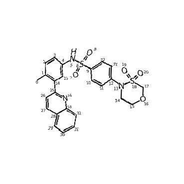 Cc1ccc(NS(=O)(=O)c2ccc(N3CCOCS3(=O)=O)cc2)cc1-c1ccc2ccccc2n1